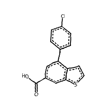 O=C(O)c1cc(-c2ccc(Cl)cc2)c2ccsc2c1